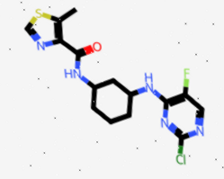 Cc1scnc1C(=O)NC1CCCC(Nc2nc(Cl)ncc2F)C1